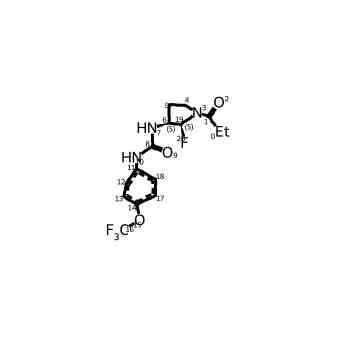 CCC(=O)N1CC[C@H](NC(=O)Nc2ccc(OC(F)(F)F)cc2)[C@@H]1F